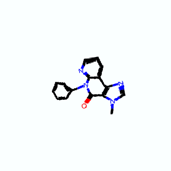 Cn1cnc2c3cccnc3n(-c3ccccc3)c(=O)c21